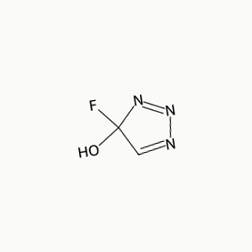 OC1(F)C=NN=N1